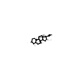 C[C@]12CC[C@H](O)[C@@H](O)C1CC[C@@H]1[C@@H]2CC[C@@]2(C)[C@H]1C[C@@H](O)[C@@]2(O)C#CCl